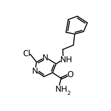 NC(=O)c1cnc(Cl)nc1NCCc1ccccc1